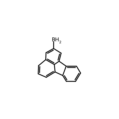 Bc1cc2c3c(cccc3c1)-c1ccccc1-2